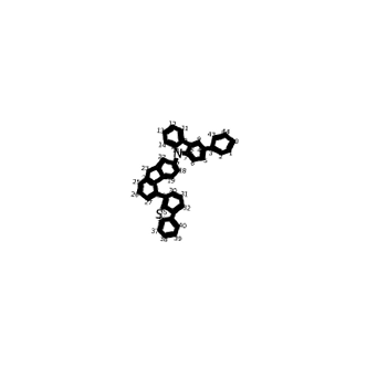 c1ccc(-c2ccc3c(c2)c2ccccc2n3-c2ccc3c(c2)Cc2cccc(-c4cccc5c4sc4ccccc45)c2-3)cc1